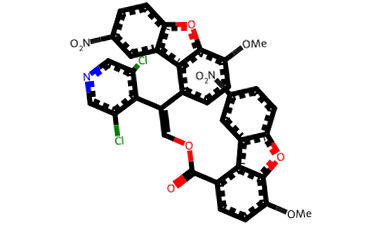 COc1ccc(C(=O)OC=C(c2c(Cl)cncc2Cl)c2ccc(OC)c3oc4ccc([N+](=O)[O-])cc4c23)c2c1oc1ccc([N+](=O)[O-])cc12